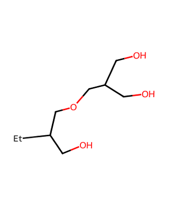 CCC(CO)COCC(CO)CO